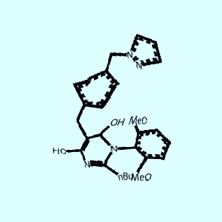 CCCCC1=NC(O)=C(Cc2ccc(Cn3cccn3)cc2)C(O)N1c1c(OC)cccc1OC